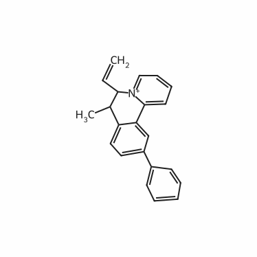 C=CC1C(C)c2ccc(-c3ccccc3)cc2-c2cccc[n+]21